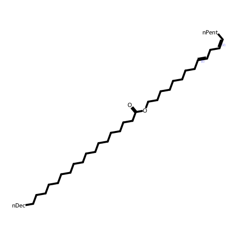 CCCCC/C=C\C/C=C/CCCCCCCCOC(=O)CCCCCCCCCCCCCCCCCCCCCCCCCCC